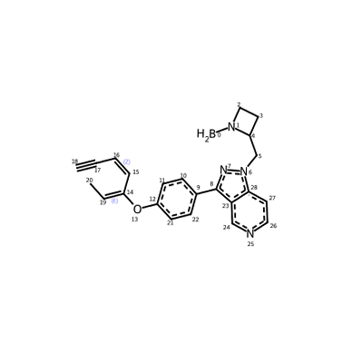 BN1CCC1Cn1nc(-c2ccc(OC(/C=C\C#C)=C/C)cc2)c2cnccc21